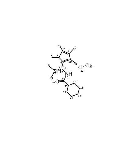 CC1=C(C)C(C)[C]([Zr+2]([NH]C(=O)C2CCCCC2)[SiH](C)C)=C1C.[Cl-].[Cl-]